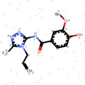 C=CCn1c(NC(=O)c2ccc(O)c(OC(C)(C)C)c2)nnc1C(F)(F)F